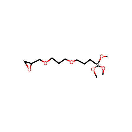 CO[Si](CCCOCCCOCC1CO1)(OC)OC